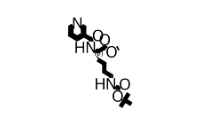 COC(=O)[C@H](CCCCNC(=O)OC(C)(C)C)NC(=O)c1cccnc1